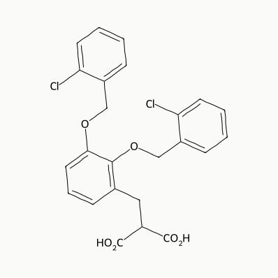 O=C(O)C(Cc1cccc(OCc2ccccc2Cl)c1OCc1ccccc1Cl)C(=O)O